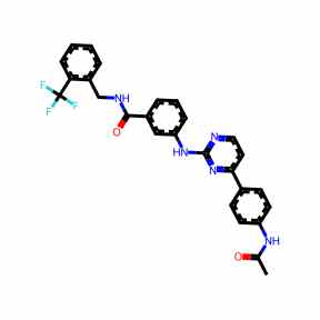 CC(=O)Nc1ccc(-c2ccnc(Nc3cccc(C(=O)NCc4ccccc4C(F)(F)F)c3)n2)cc1